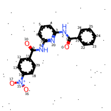 O=C(Nc1cccc(NC(=O)c2ccc([N+](=O)[O-])cc2)n1)c1ccccc1